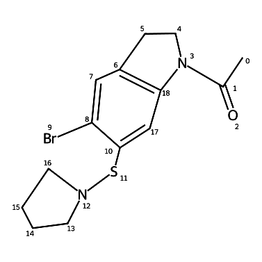 CC(=O)N1CCc2cc(Br)c(SN3CCCC3)cc21